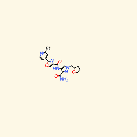 CCc1cc(-c2nc(C(=O)Nc3cn(C[C@H]4CCCO4)nc3C(N)=O)co2)ccn1